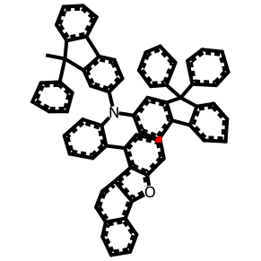 CC1(c2ccccc2)c2ccccc2-c2ccc(N(c3ccc4c(c3)C(c3ccccc3)(c3ccccc3)c3ccccc3-4)c3ccccc3-c3cccc4oc5c6ccccc6ccc5c34)cc21